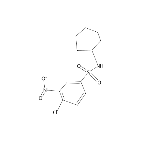 O=[N+]([O-])c1cc(S(=O)(=O)NC2CCCCC2)ccc1Cl